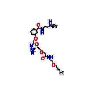 CC/C=C/COCCNC(=O)COCCOC(COc1cccc(C(=O)NCCNC(C)C)c1)N=[N+]=[N-]